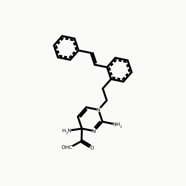 NC1=NC(N)(C(=O)C=O)C=CN1CCc1ccccc1C=Cc1ccccc1